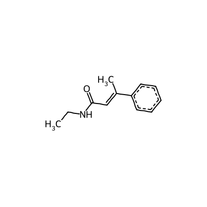 CCNC(=O)C=C(C)c1ccccc1